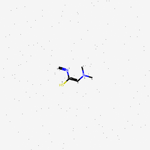 C=N/C(S)=C\N(C)C